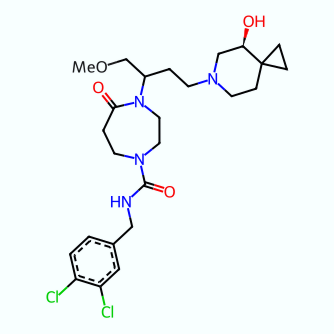 COCC(CCN1CCC2(CC2)[C@H](O)C1)N1CCN(C(=O)NCc2ccc(Cl)c(Cl)c2)CCC1=O